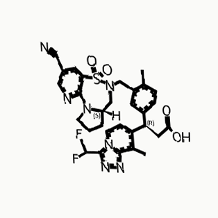 Cc1ccc([C@@H](CC(=O)O)c2ccn3c(C(F)F)nnc3c2C)cc1CN1C[C@@H]2CCCN2c2ncc(C#N)cc2S1(=O)=O